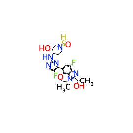 C[C@@H]1COc2c(-c3nc(N[C@@H]4CCN([SH]=O)C[C@H]4O)ncc3F)cc(F)c3nc([C@@H](C)O)n1c23